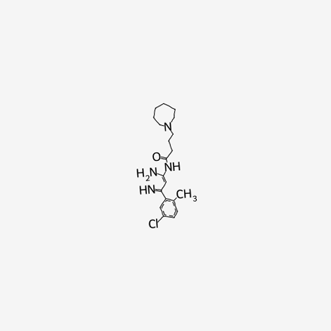 Cc1ccc(Cl)cc1C(=N)/C=C(\N)NC(=O)CCCN1CCCCCC1